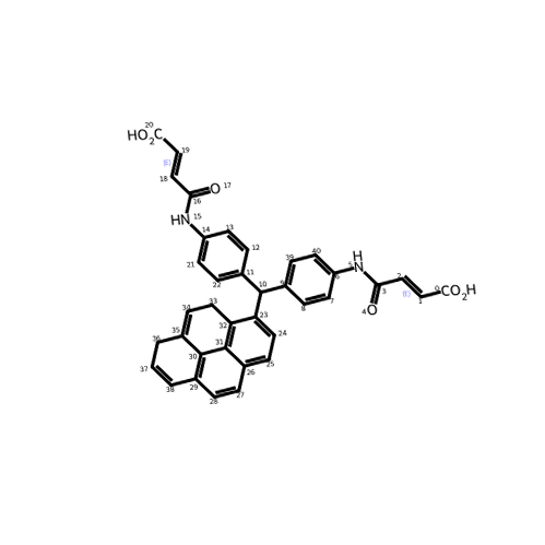 O=C(O)/C=C/C(=O)Nc1ccc(C(c2ccc(NC(=O)/C=C/C(=O)O)cc2)c2ccc3ccc4c5c3c2CC=C5CC=C4)cc1